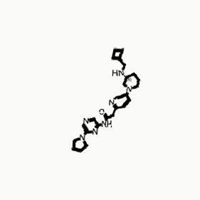 O=C(Cc1ccc(N2CCC[C@@H](NCC3CCC3)C2)cn1)Nc1cncc(N2CCCC2)n1